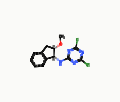 CO[C@H]1Cc2ccccc2[C@H]1Nc1nc(Cl)nc(Cl)n1